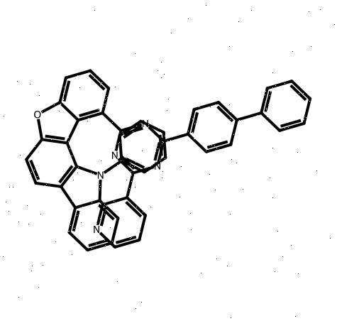 c1ccc(-c2ccc(-c3nc(-c4cccnc4)nc(-c4cccc5oc6ccc7c8ccccc8n(-c8ccccc8)c7c6c45)n3)cc2)cc1